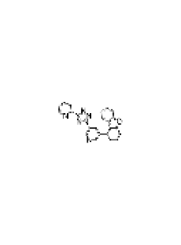 c1ccc(-c2nnn(-c3cncc(-c4cccc5oc6ccccc6c45)c3)n2)nc1